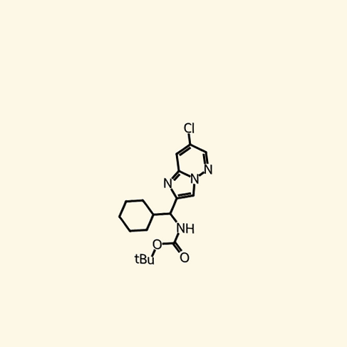 CC(C)(C)OC(=O)NC(c1cn2ncc(Cl)cc2n1)C1CCCCC1